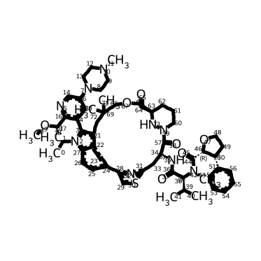 CCn1c(-c2cc(N3CCN(C)CC3)cnc2[C@H](C)OC)c2c3cc(ccc31)-c1csc(n1)C[C@H](NC(=O)[C@H](C(C)C)N(C)C(=O)[C@@H]1OCC[C@@H]1c1ccccc1)C(=O)N1CCCC(C=O)(COCC(C)(C)C2)N1